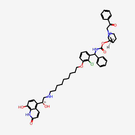 O=C(NC(c1ccccc1)c1cccc(OCCCCCCCCCNC[C@@H](O)c2ccc(O)c3[nH]c(=O)ccc23)c1Cl)O[C@H]1C[N+]2(CC(=O)c3ccccc3)CCC1CC2